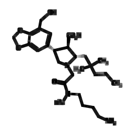 C/C=C/C(C)(C)C[C@H]1[C@H](C(=O)O)[C@@H](c2cc(CO)c3c(c2)OCO3)CN1CC(=O)N(CCCC)CCCCN